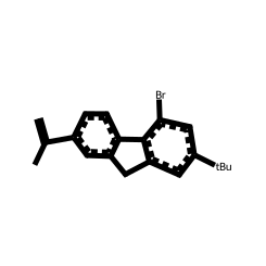 C=C(C)c1ccc2c(c1)Cc1cc(C(C)(C)C)cc(Br)c1-2